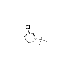 CC(C)(C)c1[c]ccc(Cl)c1